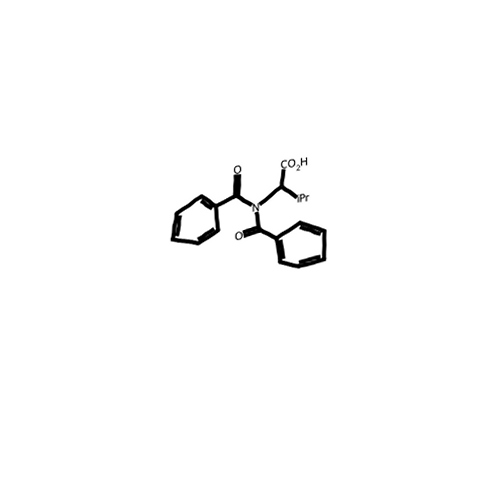 CC(C)C(C(=O)O)N(C(=O)c1ccccc1)C(=O)c1ccccc1